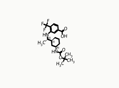 C[C@H](Nc1cc(C(=O)O)ccc1C(F)(F)F)[C@H]1CCC[C@@H](NC(=O)OC(C)(C)C)C1